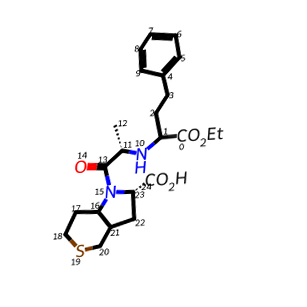 CCOC(=O)C(CCc1ccccc1)N[C@@H](C)C(=O)N1C2CCSCC2C[C@H]1C(=O)O